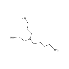 NCCCCN(CCO)CCCN